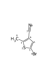 Cc1sc(Br)cc1C#N